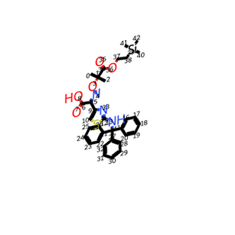 CC(C)(ON=C(C(=O)O)c1csc(NC(c2ccccc2)(c2ccccc2)c2ccccc2)n1)C(=O)OCC[Si](C)(C)C